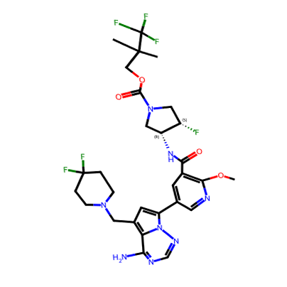 COc1ncc(-c2cc(CN3CCC(F)(F)CC3)c3c(N)ncnn23)cc1C(=O)N[C@@H]1CN(C(=O)OCC(C)(C)C(F)(F)F)C[C@@H]1F